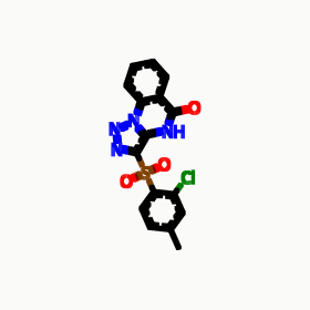 Cc1ccc(S(=O)(=O)c2nnn3c2[nH]c(=O)c2ccccc23)c(Cl)c1